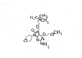 COCCOc1nc(N)nc2c1n(COCC[Si](C)(C)C)c(=O)n2C1CCOCC1